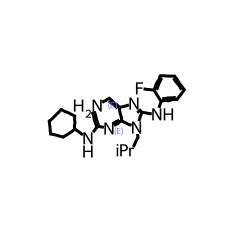 C=C(/N=C1\C(=C/N)N=C(Nc2ccccc2F)N1CC(C)C)NC1CCCCC1